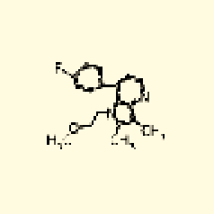 COCCn1c(C)c(C)c2nccc(-c3ccc(F)cc3)c21